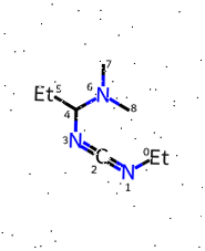 CCN=C=NC(CC)N(C)C